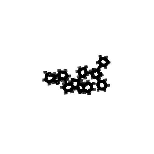 c1ccc(-c2nc(-c3ccccc3)nc(-c3cccc(-c4nc5c(-c6cccc7c6oc6ccccc67)cccc5c5sc6ccccc6c45)c3)n2)cc1